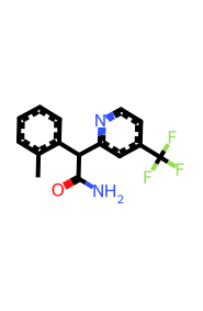 Cc1ccccc1C(C(N)=O)c1cc(C(F)(F)F)ccn1